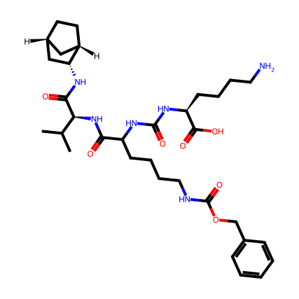 CC(C)[C@H](NC(=O)C(CCCCNC(=O)OCc1ccccc1)NC(=O)N[C@@H](CCCCN)C(=O)O)C(=O)N[C@@H]1C[C@@H]2CC[C@H]1C2